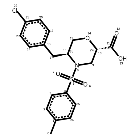 Cc1ccc(S(=O)(=O)N2C[C@@H](C(=O)O)OC[C@@H]2Cc2ccc(Cl)cc2)cc1